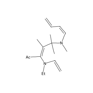 C=C/C=C\N(C)C(C)(C)/C(C)=C(/C(C)=O)N(C=C)CC